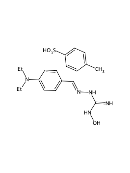 CCN(CC)c1ccc(/C=N/NC(=N)NO)cc1.Cc1ccc(S(=O)(=O)O)cc1